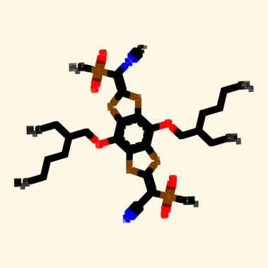 [C-]#[N+]C(=C1Sc2c(OCC(CC)CCCC)c3c(c(OCC(CC)CCCC)c2S1)SC(=C(C#N)S(C)(=O)=O)S3)S(C)(=O)=O